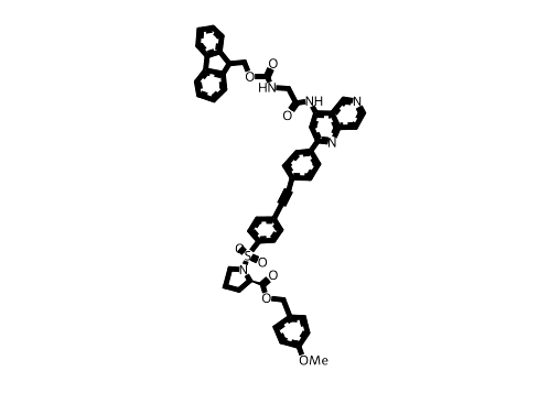 COc1ccc(COC(=O)[C@H]2CCCN2S(=O)(=O)c2ccc(C#Cc3ccc(-c4cc(NC(=O)CNC(=O)OCC5c6ccccc6-c6ccccc65)c5cnccc5n4)cc3)cc2)cc1